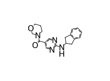 O=C(c1cnc(NC2Cc3ccccc3C2)nc1)N1CCCOC1